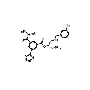 CCCN(CCC)C(=O)c1cc(C(=O)O[C@@H](CN)CNCc2cccc(CC)c2)cc(-c2nccs2)c1